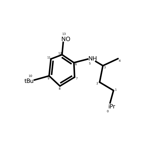 CC(C)CCC(C)Nc1ccc(C(C)(C)C)cc1N=O